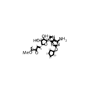 CON(C)C(=O)/C=C/[C@H]1O[C@@H](n2cnc3c(N)nc(OC4CCCC4)nc32)[C@H](O)[C@@H]1O